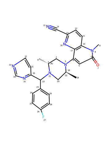 C[C@@H]1CN(c2cc(=O)n(C)c3ccc(C#N)nc23)[C@@H](C)CN1C(c1ccc(F)cc1)c1ccncn1